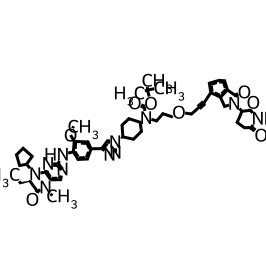 CC[C@@H]1C(=O)N(C)c2cnc(Nc3ccc(-c4cn([C@H]5CC[C@@H](N(CCCOCC#Cc6cccc7c6CN(C6CCC(=O)NC6=O)C7=O)C(=O)OC(C)(C)C)CC5)nn4)cc3OC)nc2N1C1CCCC1